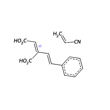 C=CC#N.O=C(O)/C=C(/C=Cc1ccccc1)C(=O)O